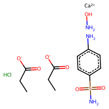 CCC(=O)[O-].CCC(=O)[O-].Cl.NO.Nc1ccc(S(N)(=O)=O)cc1.[Ca+2]